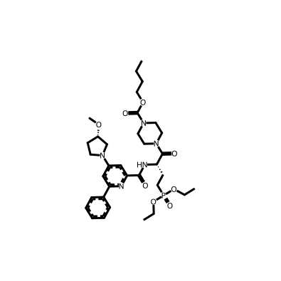 CCCCOC(=O)N1CCN(C(=O)[C@H](CCP(=O)(OCC)OCC)NC(=O)c2cc(N3CC[C@H](OC)C3)cc(-c3ccccc3)n2)CC1